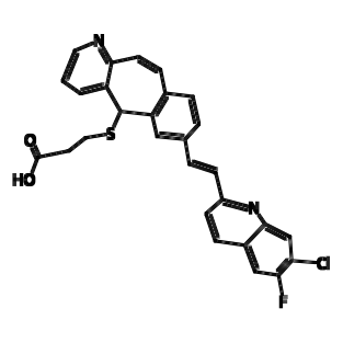 O=C(O)CCSC1c2cc(/C=C/c3ccc4cc(F)c(Cl)cc4n3)ccc2C=Cc2ncccc21